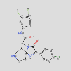 O=C(CN1C(=O)C(c2ccc(Cl)cc2)=NC12CCNCC2)Nc1ccc(F)c(F)c1